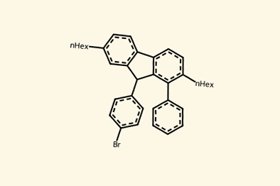 CCCCCCc1ccc2c(c1)C(c1ccc(Br)cc1)c1c-2ccc(CCCCCC)c1-c1ccccc1